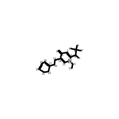 C=C1C=C(C(C)C(C)(C)C)N(CC)C=C1CCC1=CC=CCC1